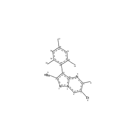 CCCCc1nn2[c]c(CC)c(C)nc2c1-c1c(C)cc(C)cc1C